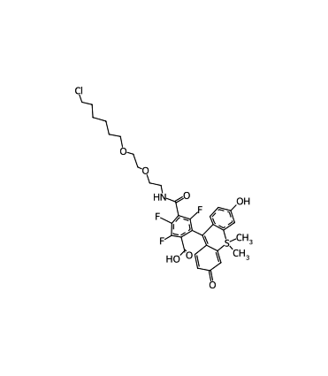 CS1(C)C2=CC(=O)C=CC2=C(c2c(F)c(C(=O)NCCOCCOCCCCCCCl)c(F)c(F)c2C(=O)O)c2ccc(O)cc21